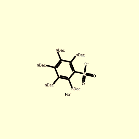 CCCCCCCCCCc1c(CCCCCCCCCC)c(CCCCCCCCCC)c(S(=O)(=O)[O-])c(CCCCCCCCCC)c1CCCCCCCCCC.[Na+]